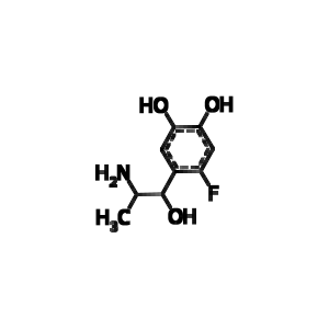 CC(N)C(O)c1cc(O)c(O)cc1F